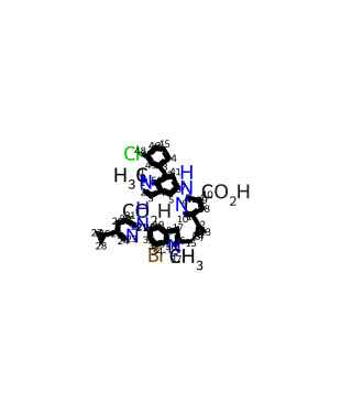 Cn1ccc2cc(Nc3ncc(C4C[C@H]4Cc4cc5cc(Nc6ncc(C7CC7)cc6C(=O)O)cc(Br)c5n4C)cc3C(=O)O)cc(-c3cccc(Cl)c3)c21